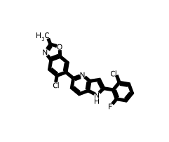 Cc1nc2cc(Cl)c(-c3ccc4[nH]c(-c5c(F)cccc5Cl)cc4n3)cc2o1